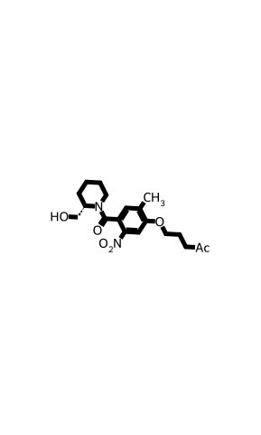 CC(=O)CCCOc1cc([N+](=O)[O-])c(C(=O)N2CCCC[C@H]2CO)cc1C